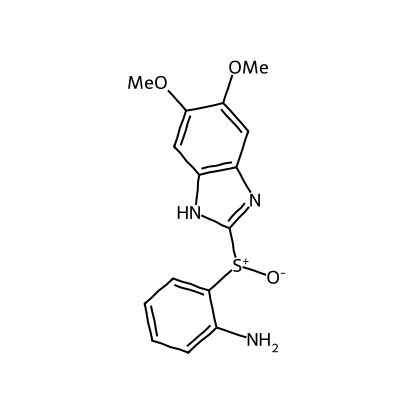 COc1cc2nc([S+]([O-])c3ccccc3N)[nH]c2cc1OC